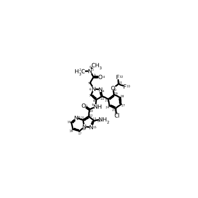 CN(C)C(=O)Cn1cc(NC(=O)c2c(N)nn3cccnc23)c(-c2cc(Cl)ccc2OC(F)F)n1